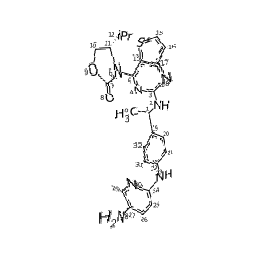 CC(Nc1nc(N2C(=O)OC[C@@H]2C(C)C)c2sccc2n1)c1ccc(Nc2ccc(N)cn2)cc1